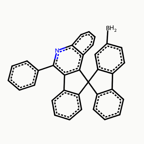 Bc1ccc2c(c1)C1(c3ccccc3-2)c2ccccc2-c2c(-c3ccccc3)nc3ccccc3c21